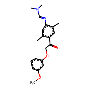 Cc1cc(C(=O)COc2cccc(OC(F)(F)F)c2)c(C)cc1N=CN(C)C